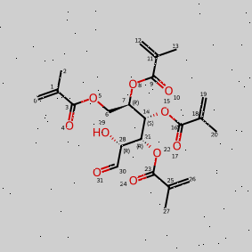 C=C(C)C(=O)OC[C@@H](OC(=O)C(=C)C)[C@H](OC(=O)C(=C)C)[C@H](OC(=O)C(=C)C)[C@@H](O)C=O